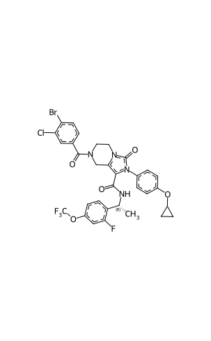 C[C@@H](NC(=O)c1c2n(c(=O)n1-c1ccc(OC3CC3)cc1)CCN(C(=O)c1ccc(Br)c(Cl)c1)C2)c1ccc(OC(F)(F)F)cc1F